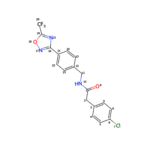 O=C(Cc1ccc(Cl)cc1)NCc1ccc(-c2noc(C(F)(F)F)n2)cc1